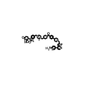 C[C@H]1CN(Cc2ccc3c(c2)n(C)c(=O)n3[C@H]2CCC(=O)NC2=O)CCN1CC1CCN(C(=O)c2ccc(C3CCN(Cc4cc5c(-c6ccc(N)nc6)ccnc5n4C)CC3)cc2)CC1